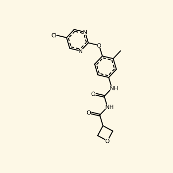 Cc1cc(NC(=O)NC(=O)C2COC2)ccc1Oc1ncc(Cl)cn1